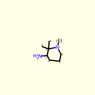 CCN1CCCC(N)C1(C)C